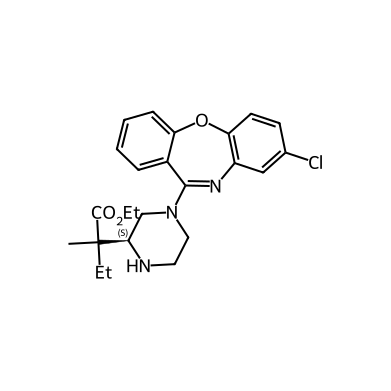 CCOC(=O)C(C)(CC)[C@H]1CN(C2=Nc3cc(Cl)ccc3Oc3ccccc32)CCN1